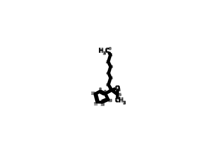 CCCCCCCC1(c2ccccc2)OC1C